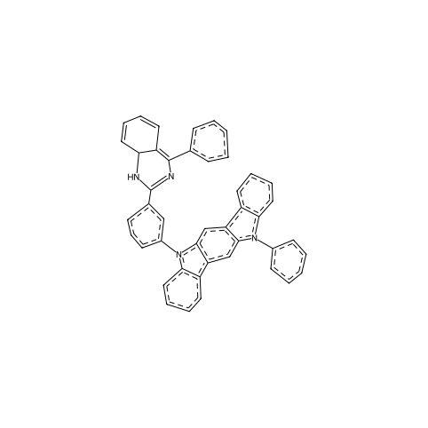 C1=CC2=C(c3ccccc3)N=C(c3cccc(-n4c5ccccc5c5cc6c(cc54)c4ccccc4n6-c4ccccc4)c3)NC2C=C1